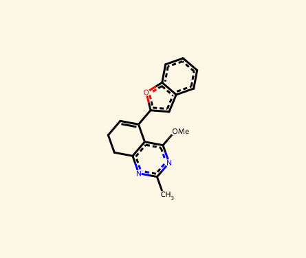 COc1nc(C)nc2c1C(c1cc3ccccc3o1)=CCC2